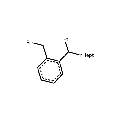 CCCCCCCC(CC)c1ccccc1CBr